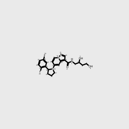 O=C(NCC(O)CCO)c1cnn2ccc(N3CCCC3c3cc(F)ccc3F)cc12